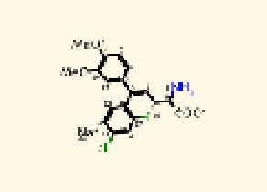 COc1ccc(/C(=C/CC(N)C(=O)[O-])c2ccc(F)cc2F)cc1OC.[Na+]